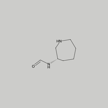 O=CN[C@H]1CCCCNC1